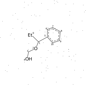 CCC(OCO)c1ccccc1